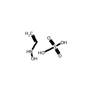 C=CNO.O=S(=O)(O)O